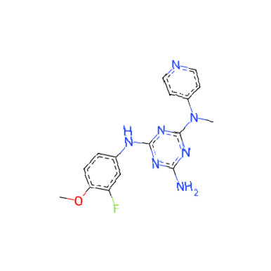 COc1ccc(Nc2nc(N)nc(N(C)c3ccncc3)n2)cc1F